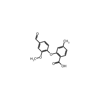 COc1cc(C=O)ccc1Oc1cc(C)ccc1C(=O)O